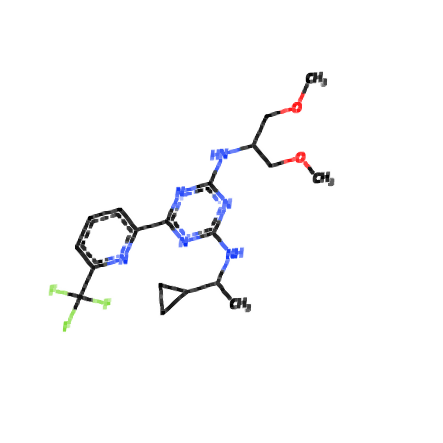 COCC(COC)Nc1nc(NC(C)C2CC2)nc(-c2cccc(C(F)(F)F)n2)n1